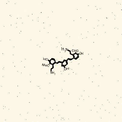 COc1c(O)ccc(/C=C/c2cc(O)cc(/C=C/c3ccc(O)c(C=O)c3CCN)c2)c1CCN